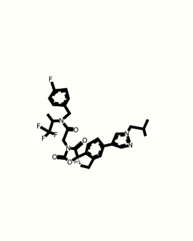 CC(C)Cn1cc(-c2ccc3c(c2)CC[C@@]32OC(=O)N(CC(=O)N(Cc3ccc(F)cc3)C(C)C(F)(F)F)C2=O)cn1